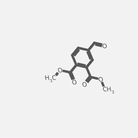 COC(=O)c1ccc(C=O)cc1C(=O)OC